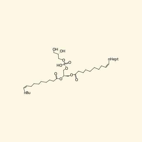 CCCC/C=C\CCCCCCCC(=O)O[C@H](COC(=O)CCCCCCC/C=C\CCCCCCC)COP(=O)(O)OC[C@@H](O)CO